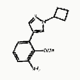 COc1c(N)cccc1-c1cnn(C2CCC2)c1